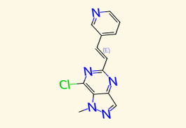 Cn1ncc2nc(/C=C/c3cccnc3)nc(Cl)c21